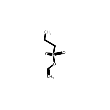 C=COS(=O)(=O)CCC